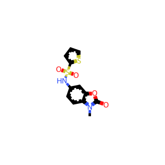 Cn1c(=O)oc2cc(NS(=O)(=O)c3cccs3)ccc21